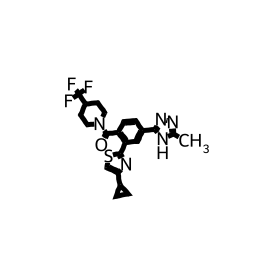 Cc1nnc(-c2ccc(C(=O)N3CCC(C(F)(F)F)CC3)c(-c3nc(C4CC4)cs3)c2)[nH]1